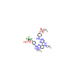 CNc1ccc2c(nc(Nc3ccc(C)cc3)n2C)c1-c1ccnc(Nc2ccc(CS(C)(=O)=O)cc2)n1.O=C(O)C(F)(F)F